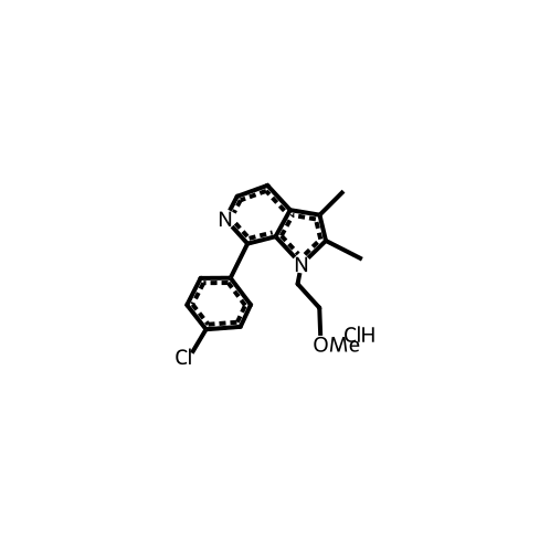 COCCn1c(C)c(C)c2ccnc(-c3ccc(Cl)cc3)c21.Cl